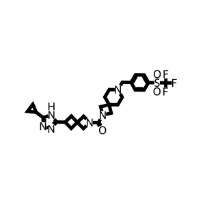 O=C(N1CC2(CCN(Cc3ccc(S(=O)(=O)C(F)(F)F)cc3)CC2)C1)N1CC2(CC(c3nnc(C4CC4)[nH]3)C2)C1